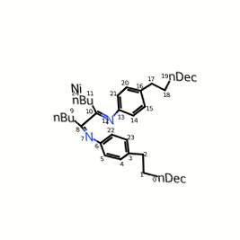 CCCCCCCCCCCCc1ccc(N=C(CCCC)C(CCCC)=Nc2ccc(CCCCCCCCCCCC)cc2)cc1.[Ni]